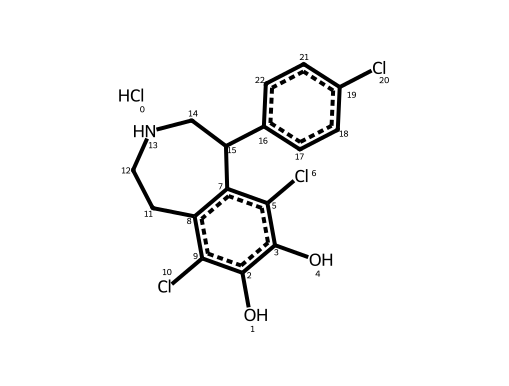 Cl.Oc1c(O)c(Cl)c2c(c1Cl)CCNCC2c1ccc(Cl)cc1